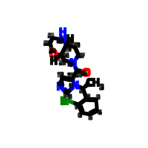 C[C@@H](c1ccccc1Br)n1cncc1C(=O)N1CC[C@H]2NCCO[C@@H]2C1